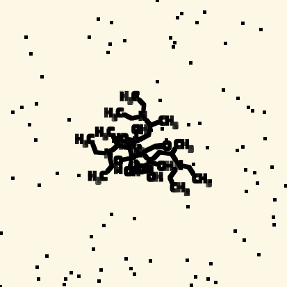 CCN(CC)C(C)C[P](O)(O)(O)[Ni]([CH]=O)([P](O)(O)(O)CC(C)N(CC)CC)[P](O)(O)(O)CC(C)N(CC)CC